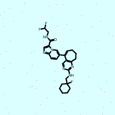 O=C(NCC(F)F)c1cnc2ccc(C3=CCCCc4nc(NCC5(F)CCCCC5)ncc43)cn12